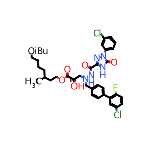 CC(C)COCCCCC(C)CCOC(=O)[C@H](O)CN(Cc1ccc(-c2cc(Cl)ccc2F)cc1)NC(=O)c1nn(-c2cccc(Cl)c2)c(=O)[nH]1